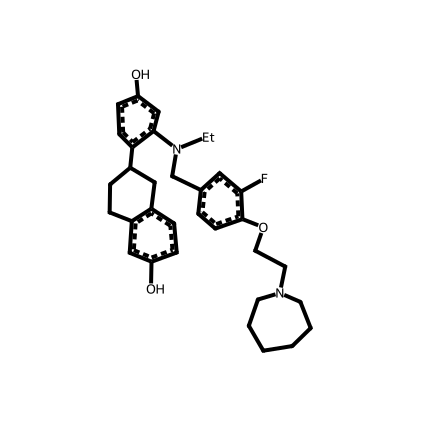 CCN(Cc1ccc(OCCN2CCCCCC2)c(F)c1)c1cc(O)ccc1C1CCc2cc(O)ccc2C1